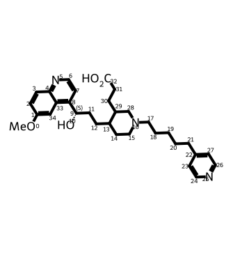 COc1ccc2nccc([C@@H](O)CCC3CCN(CCCCCc4ccncc4)CC3CCC(=O)O)c2c1